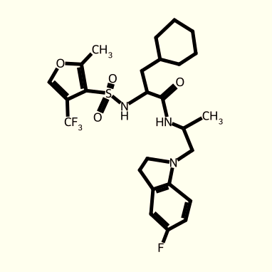 Cc1occ(C(F)(F)F)c1S(=O)(=O)NC(CC1CCCCC1)C(=O)NC(C)CN1CCc2cc(F)ccc21